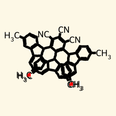 Cc1ccc2c(c1)-c1cc(C)ccc1C2c1c(C#N)c(C#N)c(C#N)c(C2c3ccc(C)cc3-c3cc(C)ccc32)c1C1c2ccc(C)cc2-c2cc(C)ccc21